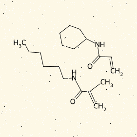 C=C(C)C(=O)NCCCCCC.C=CC(=O)NC1CCCCC1